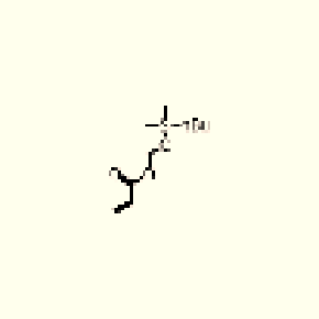 C=CC(=O)OCO[Si](C)(C)CCCC